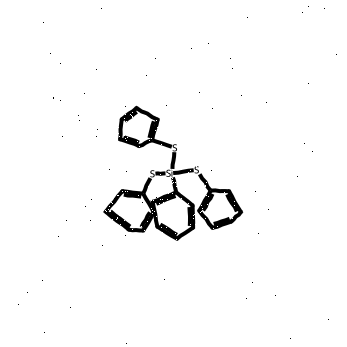 c1ccc(S[Si](Sc2ccccc2)(Sc2ccccc2)c2ccccc2)cc1